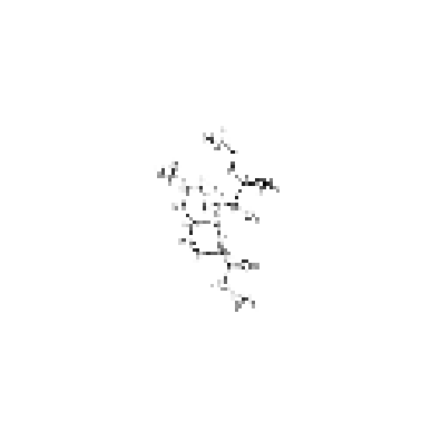 CCC[C@@H](C)C(=O)Nc1cc(C(=O)OC)ccc1CC(C)C